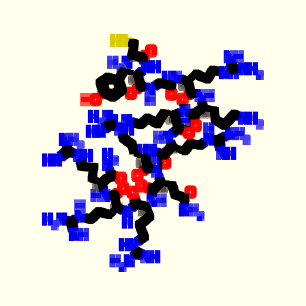 N=C(N)NCCC[C@H](NC(=O)[C@H](CCCNC(=N)N)NC(=O)[C@H](CCCNC(=N)N)NC(=O)[C@H](CCC(N)=O)NC(=O)[C@H](CCCNC(=N)N)NC(=O)[C@H](CCCNC(=N)N)NC(=O)[C@H](CCCCN)NC(=O)[C@H](CCCCN)NC(=O)[C@H](CCCNC(=N)N)NC(=O)CNC(=O)[C@H](Cc1ccc(O)cc1)NC(=O)[C@@H](N)CS)C(N)=O